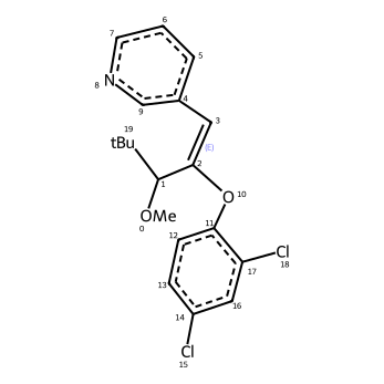 COC(/C(=C\c1cccnc1)Oc1ccc(Cl)cc1Cl)C(C)(C)C